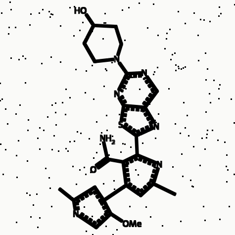 COc1cnc(C)cc1-c1cc(C)nc(-c2nc3cnc(N4CCC(O)CC4)nc3s2)c1C(N)=O